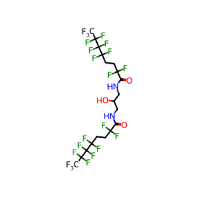 O=C(NCC(O)CNC(=O)C(F)(F)CCC(F)(F)C(F)(F)C(F)(F)C(F)(F)F)C(F)(F)CCC(F)(F)C(F)(F)C(F)(F)C(F)(F)F